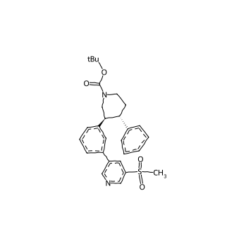 CC(C)(C)OC(=O)N1CC[C@H](c2ccccc2)[C@@H](c2cccc(-c3cncc(S(C)(=O)=O)c3)c2)C1